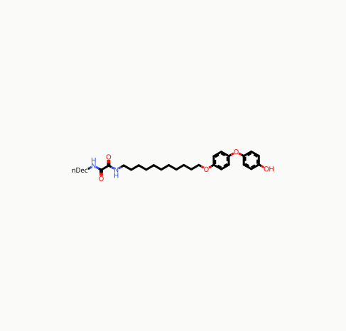 CCCCCCCCCCNC(=O)C(=O)NCCCCCCCCCCCOc1ccc(Oc2ccc(O)cc2)cc1